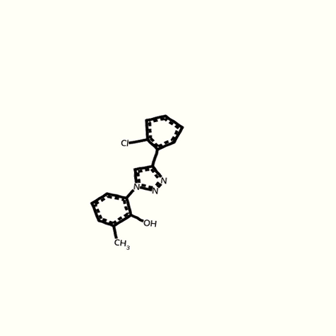 Cc1cccc(-n2cc(-c3ccccc3Cl)nn2)c1O